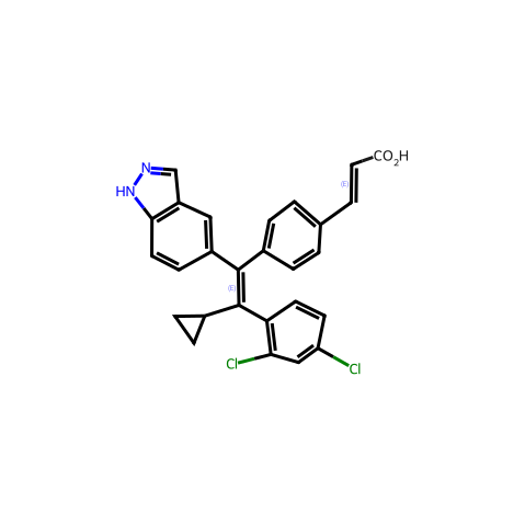 O=C(O)/C=C/c1ccc(/C(=C(\c2ccc(Cl)cc2Cl)C2CC2)c2ccc3[nH]ncc3c2)cc1